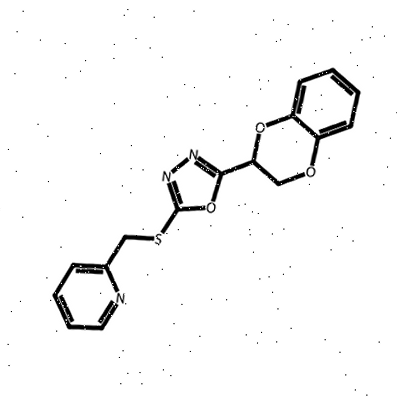 c1ccc(CSc2nnc(C3COc4ccccc4O3)o2)nc1